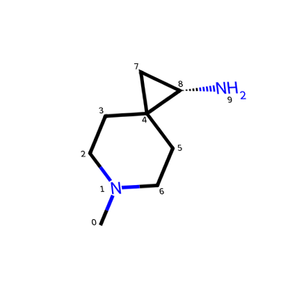 CN1CCC2(CC1)C[C@@H]2N